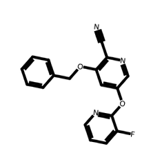 N#Cc1ncc(Oc2ncccc2F)cc1OCc1ccccc1